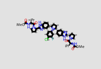 COC(=O)N[C@H](C(=O)N1CCCC1c1nc2cc([C@H]3CC[C@H](c4ccc5[nH]c([C@@H]6CCCN6C(=O)[C@@H](NC(=O)OC)C(C)C)nc5c4)N3c3ccc(Cl)c(F)c3)ccc2[nH]1)C(C)C